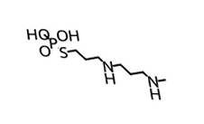 CNCCCNCCCSP(=O)(O)O